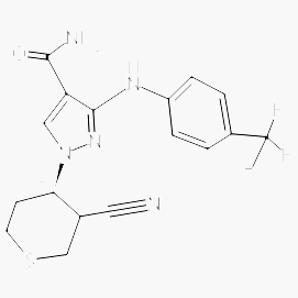 N#CC1CSCC[C@H]1n1cc(C(N)=O)c(Nc2ccc(C(F)(F)F)cc2)n1